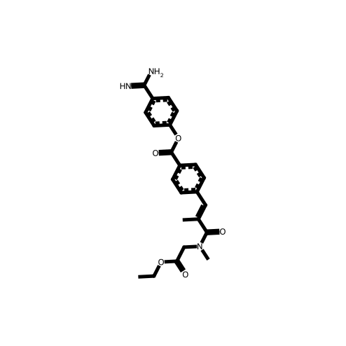 CCOC(=O)CN(C)C(=O)/C(C)=C/c1ccc(C(=O)Oc2ccc(C(=N)N)cc2)cc1